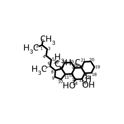 CC(C)CCC[C@@H](C)C1CCC2C3C(O)[C@H](O)[C@H]4CCCCC4(C)C3CCC21C